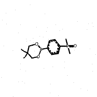 CC1(C)COB(c2ccc(P(C)(C)=O)cc2)OC1